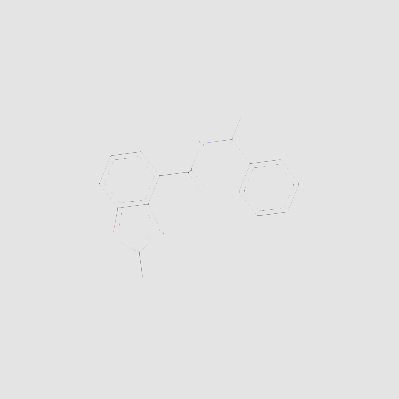 CCC(NC(=O)c1cccc2oc(C)nc12)c1ccccc1